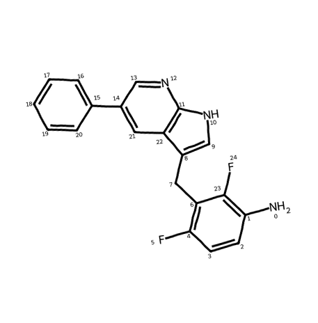 Nc1ccc(F)c(Cc2c[nH]c3ncc(-c4ccccc4)cc23)c1F